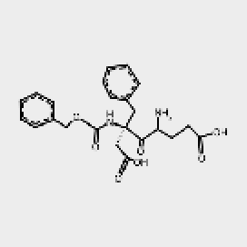 NC(CCC(=O)O)C(=O)[C@](CC(=O)O)(Cc1ccccc1)NC(=O)OCc1ccccc1